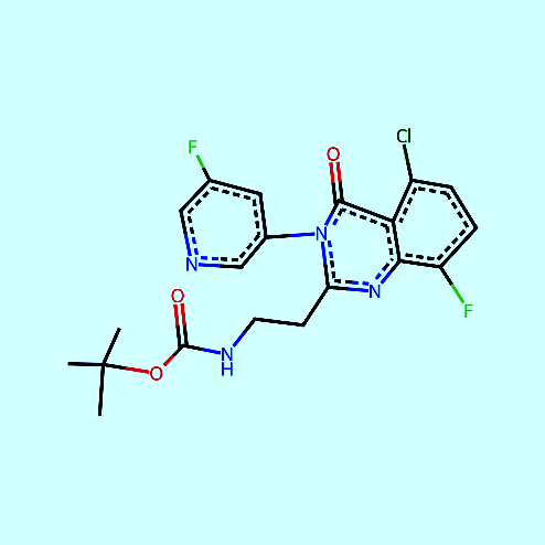 CC(C)(C)OC(=O)NCCc1nc2c(F)ccc(Cl)c2c(=O)n1-c1cncc(F)c1